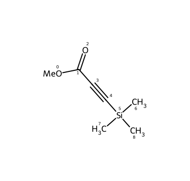 COC(=O)C#C[Si](C)(C)C